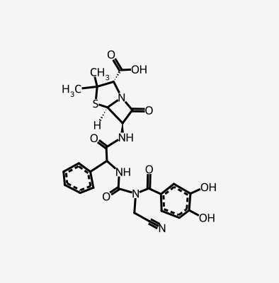 CC1(C)S[C@@H]2[C@H](NC(=O)C(NC(=O)N(CC#N)C(=O)c3ccc(O)c(O)c3)c3ccccc3)C(=O)N2[C@H]1C(=O)O